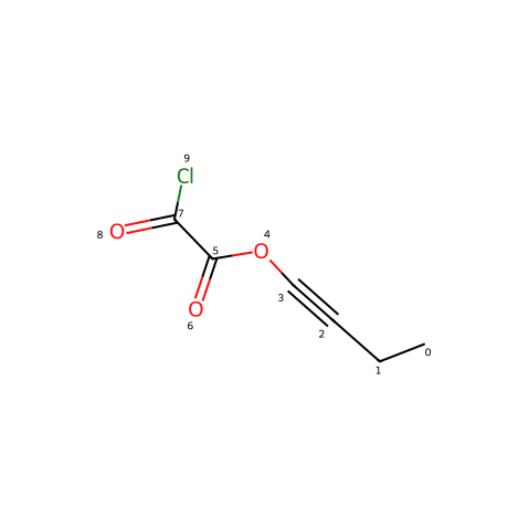 CCC#COC(=O)C(=O)Cl